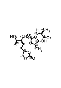 C=C(C)C(=O)O.CC(=CCC1COC(=O)O1)C(=O)O.CC1COC(=O)O1